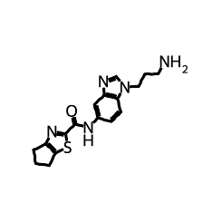 NCCCn1cnc2cc(NC(=O)c3nc4c(s3)CCC4)ccc21